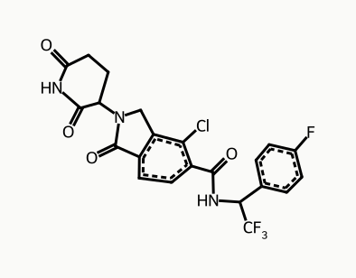 O=C1CCC(N2Cc3c(ccc(C(=O)NC(c4ccc(F)cc4)C(F)(F)F)c3Cl)C2=O)C(=O)N1